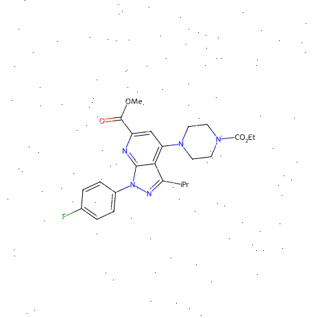 CCOC(=O)N1CCN(c2cc(C(=O)OC)nc3c2c(C(C)C)nn3-c2ccc(F)cc2)CC1